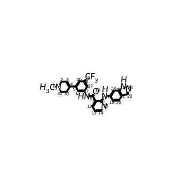 CN1CC=C(c2cc(NC(=O)c3cccnc3Nc3ccc4cn[nH]c4c3)cc(C(F)(F)F)c2)CC1